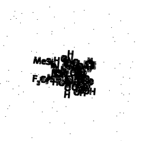 CSCCNc1nc(SCCC(F)(F)F)nc2c1ncn2[C@@H]1O[C@H](COP(=O)(O)OP(=O)(O)OP(=O)(O)O[PH](=O)OC[C@H]2O[C@@H](n3ccc(=O)[nH]c3=O)[C@@H]3OC(c4ccccc4)O[C@@H]32)[C@@H](O)[C@H]1O